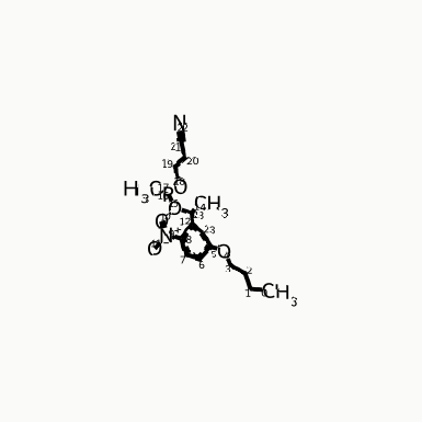 CCCCOc1ccc([N+](=O)[O-])c(C(C)OP(C)OCCC#N)c1